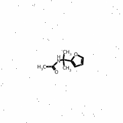 CC(=O)NC(C)(C)c1ccco1